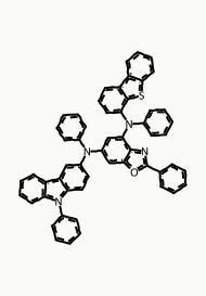 c1ccc(-c2nc3c(N(c4ccccc4)c4cccc5c4sc4ccccc45)cc(N(c4ccccc4)c4ccc5c(c4)c4ccccc4n5-c4ccccc4)cc3o2)cc1